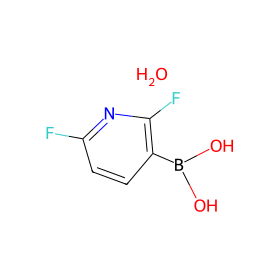 O.OB(O)c1ccc(F)nc1F